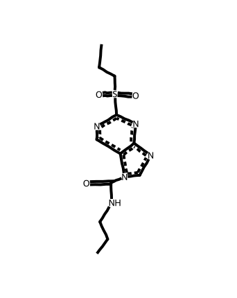 CCCNC(=O)n1cnc2nc(S(=O)(=O)CCC)ncc21